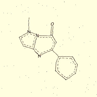 Cn1ccc2nc(-c3ccccc3)cc(=O)n21